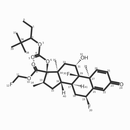 CCC(OC(=O)O[C@]1(C(=O)OCF)[C@H](C)C[C@H]2[C@@H]3C[C@H](F)C4=CC(=O)C=C[C@]4(C)[C@@]3(F)[C@@H](O)C[C@@]21C)C(C)(C)C